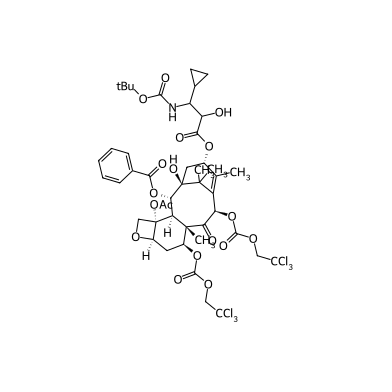 CC(=O)O[C@@]12CO[C@@H]1C[C@H](OC(=O)OCC(Cl)(Cl)Cl)[C@@]1(C)C(=O)[C@H](OC(=O)OCC(Cl)(Cl)Cl)C3=C(C)[C@@H](OC(=O)C(O)C(NC(=O)OC(C)(C)C)C4CC4)C[C@@](O)([C@@H](OC(=O)c4ccccc4)[C@H]21)C3(C)C